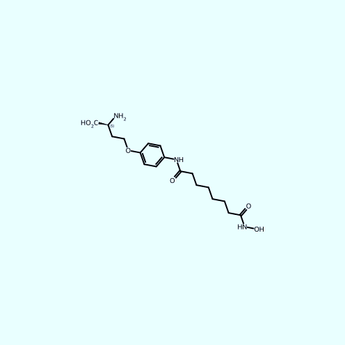 N[C@@H](CCOc1ccc(NC(=O)CCCCCCC(=O)NO)cc1)C(=O)O